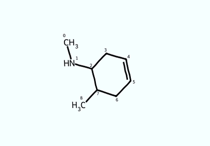 CNC1CC=CCC1C